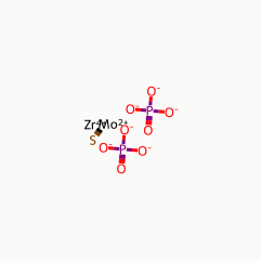 O=P([O-])([O-])[O-].O=P([O-])([O-])[O-].[S]=[Mo+2].[Zr+4]